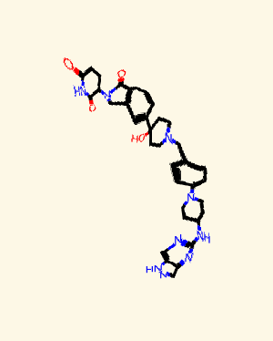 O=C1CCC(N2Cc3cc(C4(O)CCN(Cc5ccc(N6CCC(Nc7ncc8[nH]ncc8n7)CC6)cc5)CC4)ccc3C2=O)C(=O)N1